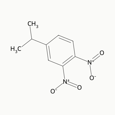 CC(C)c1ccc([N+](=O)[O-])c([N+](=O)[O-])c1